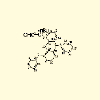 CCCCOC=O.c1ccc(Cc2cccc(Cc3ccccc3)c2Cc2ccccc2)cc1